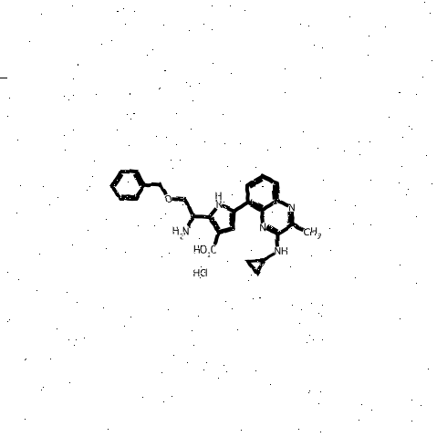 Cc1nc2cccc(-c3cc(C(=O)O)c(C(N)COCc4ccccc4)[nH]3)c2nc1NC1CC1.Cl